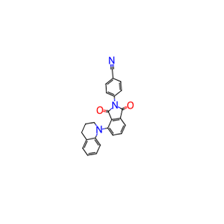 N#Cc1ccc(N2C(=O)c3cccc(N4CCCc5ccccc54)c3C2=O)cc1